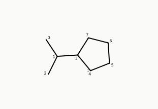 CC(C)C1[C]CCC1